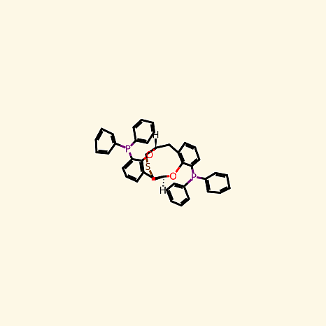 c1ccc(P(c2ccccc2)c2cccc3c2O[C@@H]2CSC[C@H](C3)Oc3c(cccc3P(c3ccccc3)c3ccccc3)C2)cc1